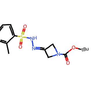 Cc1ccccc1S(=O)(=O)NN=C1CN(C(=O)OC(C)(C)C)C1